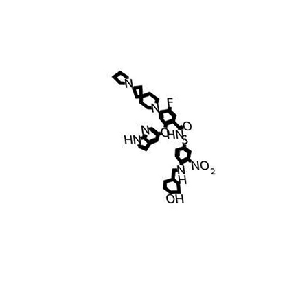 O=C(NSc1ccc(NCC2CCC(O)CC2)c([N+](=O)[O-])c1)c1cc(F)c(N2CCC3(CC2)CC(N2CCCC2)C3)cc1Oc1cnc2[nH]ccc2c1